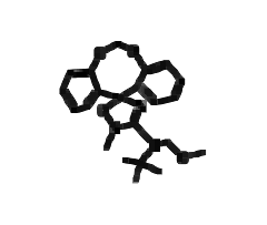 COCN(C1=NC2(ON1C)c1ccccc1OCOc1ccccc12)C(C)(C)C